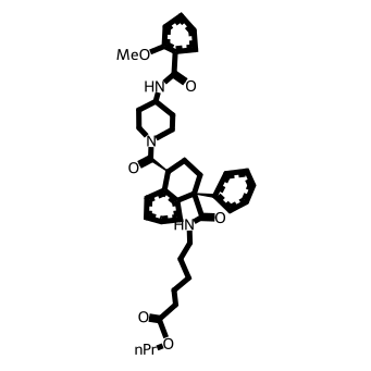 CCCOC(=O)CCCCCNC(=O)[C@@]1(c2ccccc2)CC[C@H](C(=O)N2CCC(NC(=O)c3ccccc3OC)CC2)c2ccccc21